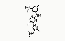 Cc1cc(Nc2ncc(F)c(-n3cc(C)c(CN(C)C)c3)n2)cc(C(F)(F)F)c1